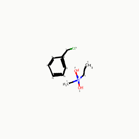 CC[N+](C)(O)O.ClCc1ccccc1